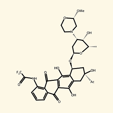 CO[C@@H]1CN([C@H]2C[C@H](O[C@H]3C[C@](O)(C(C)=O)Cc4c(O)c5c(c(O)c43)C(=O)c3c(NC(=O)C(F)(F)F)cccc3C5=O)O[C@@H](C)[C@H]2O)CCO1